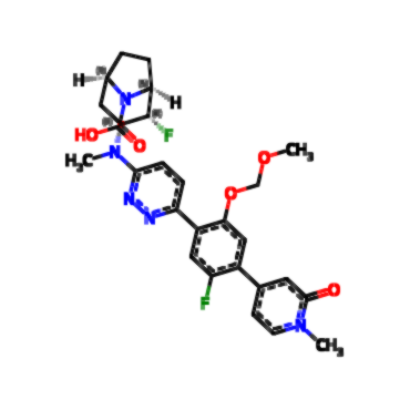 COCOc1cc(-c2ccn(C)c(=O)c2)c(F)cc1-c1ccc(N(C)[C@@H]2C[C@H]3CC[C@@H]([C@@H]2F)N3C(=O)O)nn1